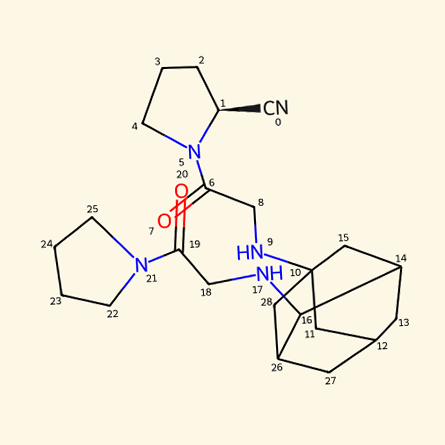 N#C[C@@H]1CCCN1C(=O)CNC12CC3CC(C1)C(NCC(=O)N1CCCC1)C(C3)C2